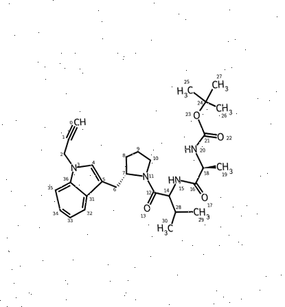 C#CCn1cc(C[C@@H]2CCCN2C(=O)C(NC(=O)[C@H](C)NC(=O)OC(C)(C)C)C(C)C)c2ccccc21